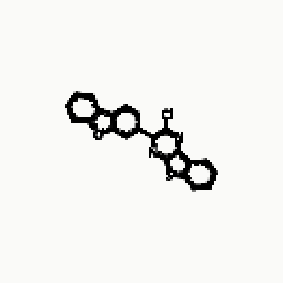 Clc1nc2c(nc1-c1ccc3c(c1)oc1ccccc13)sc1ccccc12